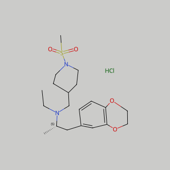 CCN(CC1CCN(S(C)(=O)=O)CC1)[C@@H](C)Cc1ccc2c(c1)OCCO2.Cl